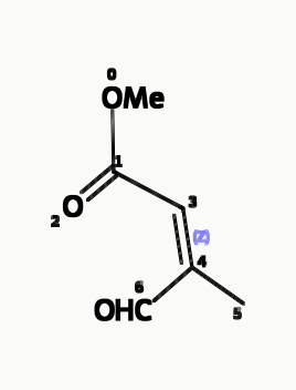 COC(=O)/C=C(/C)C=O